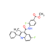 COC(=O)c1ccc(NC(=O)c2c(C)c(-c3ccccc3)nc3ccc(F)cc23)c(F)c1